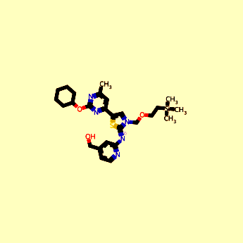 Cc1cc(-c2cn(COCC[Si](C)(C)C)/c(=N/c3cc(CO)ccn3)s2)nc(OC2CCCCC2)n1